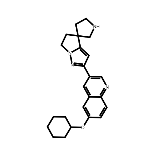 c1cc2ncc(-c3cc4n(n3)CCC43CCNC3)cc2cc1OC1CCCCC1